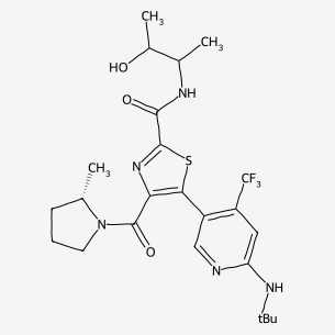 CC(O)C(C)NC(=O)c1nc(C(=O)N2CCC[C@@H]2C)c(-c2cnc(NC(C)(C)C)cc2C(F)(F)F)s1